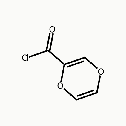 O=C(Cl)C1=COC=CO1